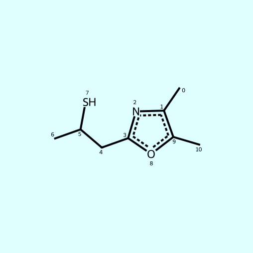 Cc1nc(CC(C)S)oc1C